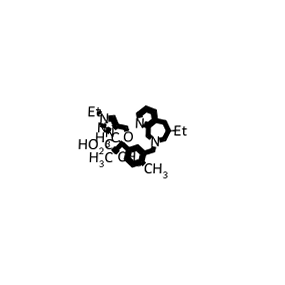 CC[C@H]1Cc2cccnc2CN(Cc2cc([C@](C)(OCc3cn(CC)nn3)C(C)(C)C(=O)O)ccc2C)C1